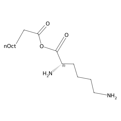 CCCCCCCCCC(=O)OC(=O)[C@@H](N)CCCCN